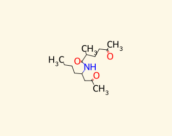 CCCCC(CC(C)=O)NC(=O)C(C)CCC(C)=O